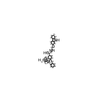 CN(C)S(=O)(=O)c1cc(C(O)CNCCOc2ccc3c(c2)[nH]c2ccccc23)ccc1OCc1ccccc1